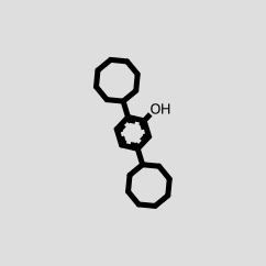 Oc1cc(C2CCCCCCC2)ccc1C1CCCCCCC1